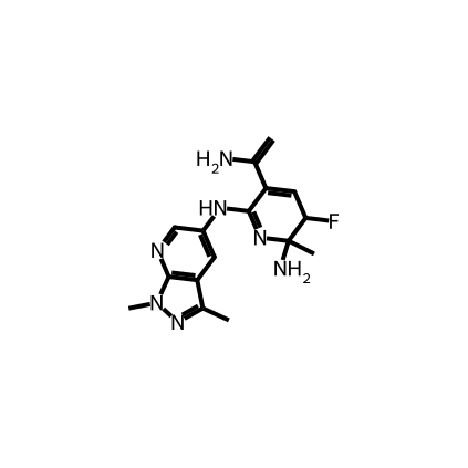 C=C(N)C1=CC(F)C(C)(N)N=C1Nc1cnc2c(c1)c(C)nn2C